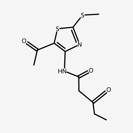 CCC(=O)CC(=O)Nc1nc(SC)sc1C(C)=O